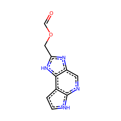 O=COCc1nc2cnc3[nH]ccc3c2[nH]1